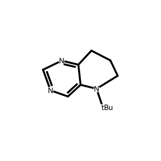 CC(C)(C)N1CCCc2ncncc21